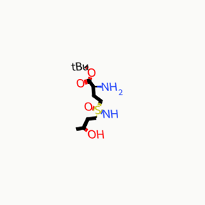 CC(O)CC[S@](=N)(=O)CC[C@H](N)C(=O)OC(C)(C)C